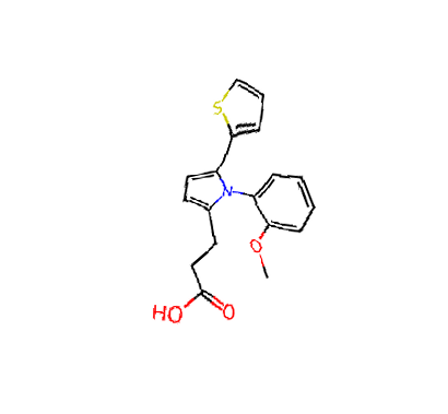 COc1ccccc1-n1c(CCC(=O)O)ccc1-c1cccs1